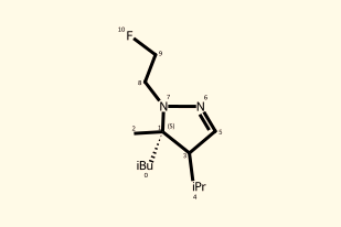 CCC(C)[C@@]1(C)C(C(C)C)C=NN1CCF